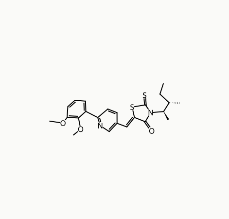 CC[C@H](C)[C@@H](C)N1C(=O)/C(=C/c2ccc(-c3cccc(OC)c3OC)nc2)SC1=S